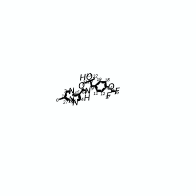 Cc1cnc2c(C(=O)NC(c3ccc(OC(F)F)cc3)C(C)(C)O)cnn2c1